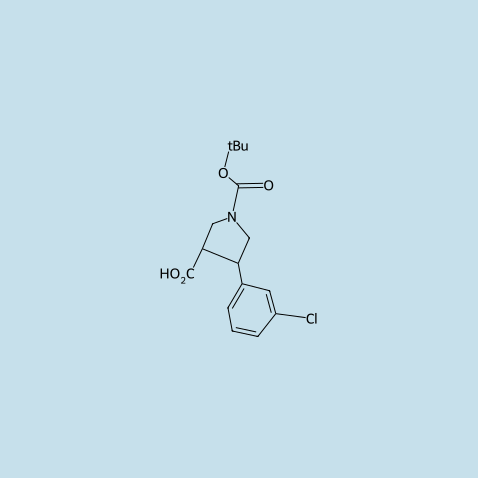 CC(C)(C)OC(=O)N1CC(C(=O)O)C(c2cccc(Cl)c2)C1